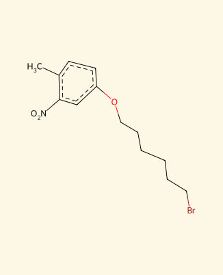 Cc1ccc(OCCCCCCBr)cc1[N+](=O)[O-]